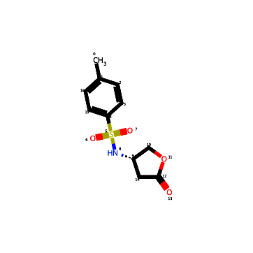 Cc1ccc(S(=O)(=O)N[C@@H]2COC(=O)C2)cc1